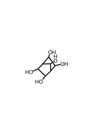 OC1C(O)C2C(O)C(O)C1C2O